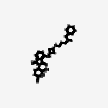 CN(CCCO[C@H]1C[C@H](Nc2cccc3c2C(=O)N(C2CCC(=O)NC2O)C3=O)C1)CC1CCCCC1